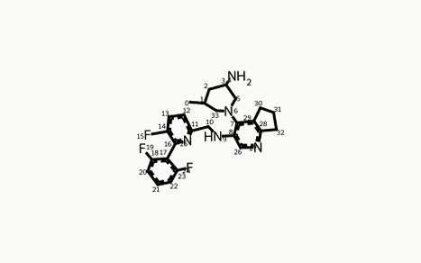 CC1CC(N)CN(c2c(NCc3ccc(F)c(-c4c(F)cccc4F)n3)cnc3c2CCC3)C1